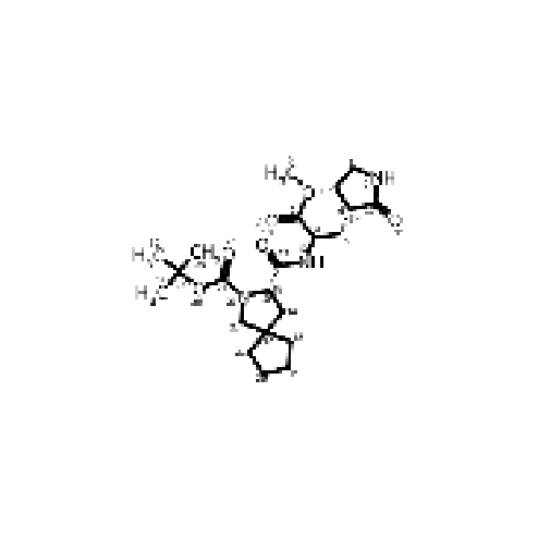 COC(=O)C(C[C@@H]1CCNC1=O)NC(=O)[C@@H]1CC2(CCCC2)CN1C(=O)OC(C)(C)C